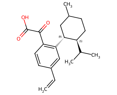 C=Cc1ccc(C(=O)C(=O)O)c([C@@H]2CC(C)CC[C@H]2C(C)C)c1